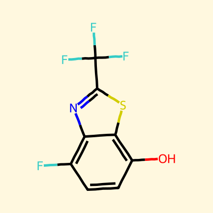 Oc1ccc(F)c2nc(C(F)(F)F)sc12